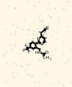 CC(=O)NCc1cc(C(F)(F)F)ccc1-c1nccc(CC#N)n1